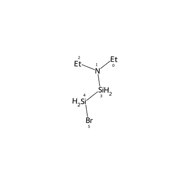 CCN(CC)[SiH2][SiH2]Br